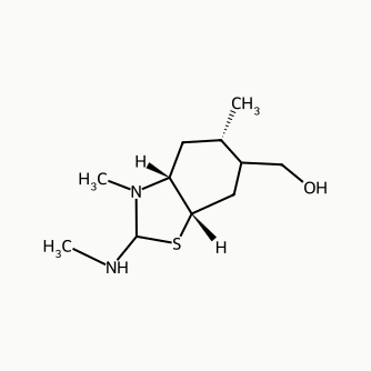 CNC1S[C@H]2CC(CO)[C@@H](C)C[C@H]2N1C